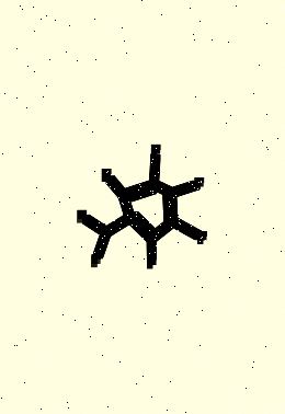 Fc1c(F)c(F)c(C(F)F)c(F)c1F